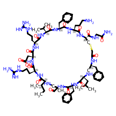 CC[C@H](C)[C@@H]1NC[C@@](C)(C=O)NC(=O)[C@H](Cc2ccccc2)NC(=O)[C@H](CC(C)C)NC[C@H](Cc2ccccc2)NC(=O)CSC[C@@H](C(=O)NCC(N)=O)NC(=O)[C@H](CCCN)NC(=O)[C@H](Cc2ccccc2)NC(=O)[C@H](C(C)C)NC(=O)[C@H](CCCNC(=N)N)NC(=O)[C@H](CC(=O)O)NC(=O)[C@H](CCCNC(=N)N)NC1=O